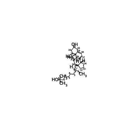 CC(SCCCCCC(C)(C)O)[C@H]1CC[C@H]2C3=CC=C4CC(O)CC(O)[C@]4(C)[C@H]3CC[C@]12C